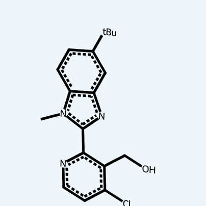 Cn1c(-c2nccc(Cl)c2CO)nc2cc(C(C)(C)C)ccc21